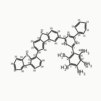 Bc1c(B)c(B)c(-c2nc(-c3ccccc3)nc(-c3ccc4sc5ccc(-c6cccc7c6sc6ccccc67)cc5c4c3)n2)c(B)c1B